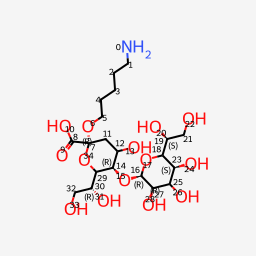 NCCCCCO[C@]1(C(=O)O)CC(O)[C@@H](O[C@H]2OC([C@@H](O)CO)[C@@H](O)C(O)[C@H]2O)C([C@H](O)CO)O1